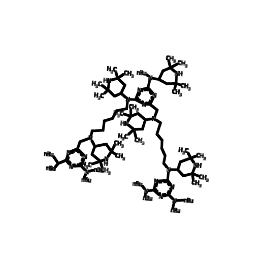 CCCCC(CCCC)c1nc(CN(CCCCCCN(c2nc(CN(CCCCCCN(c3nc(N(CCCC)CCCC)nc(N(CCCC)CCCC)n3)C3CC(C)(C)NC(C)(C)C3)C3CC(C)(C)NC(C)(C)C3)nc(N(CCCC)C3CC(C)(C)NC(C)(C)C3)n2)C2CC(C)(C)NC(C)(C)C2)C2CC(C)(C)NC(C)(C)C2)nc(N(CCCC)CCCC)n1